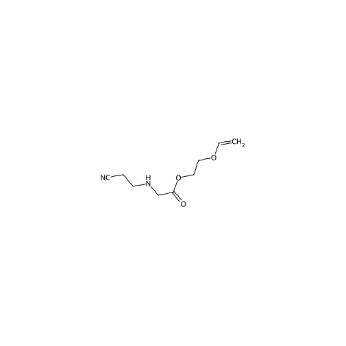 C=COCCOC(=O)CNCCC#N